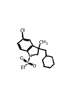 CCS(=O)(=O)N1CC(C)(CC2CCCCC2)c2cc(Cl)ccc21